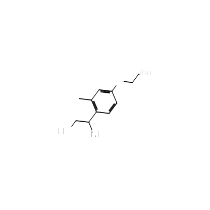 CCC(C)COc1ccc(C(N)CO)c(C)c1